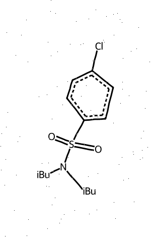 CCC(C)N(C(C)CC)S(=O)(=O)c1ccc(Cl)cc1